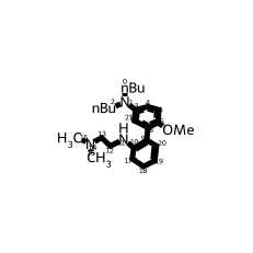 CCCCN(CCCC)c1ccc(OC)c(C2=C(NCCN(C)C)[CH]CC=C2)c1